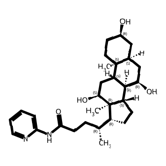 C[C@H](CCC(=O)Nc1ccccn1)[C@H]1CC[C@H]2[C@@H]3[C@H](O)C[C@@H]4C[C@H](O)CC[C@]4(C)[C@H]3C[C@H](O)[C@]12C